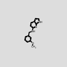 COc1cccc(CNc2ccc3cc[nH]c3n2)c1